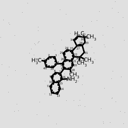 Cc1ccc(-c2c(-c3ccc4ccccc4c3N)c(C)cc3c4c(ccc23)C2=C(CC(C)(C)C=C2)CC4(C)C)cc1